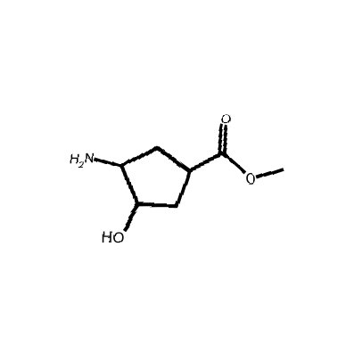 COC(=O)C1CC(N)C(O)C1